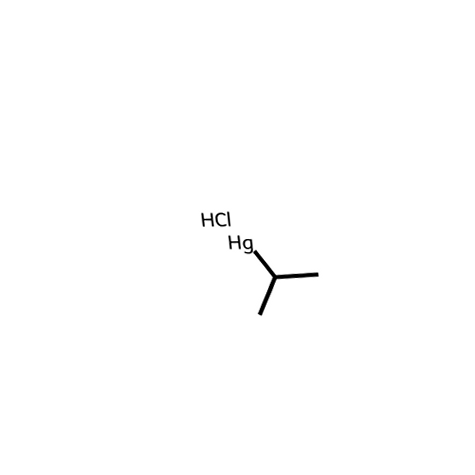 C[CH](C)[Hg].Cl